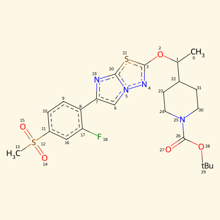 CC(Oc1nn2cc(-c3ccc(S(C)(=O)=O)cc3F)nc2s1)C1CCN(C(=O)OC(C)(C)C)CC1